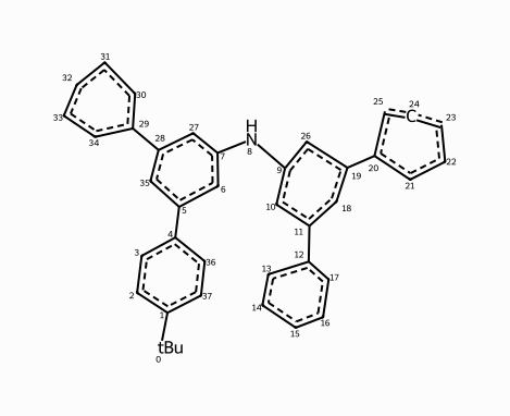 CC(C)(C)c1ccc(-c2cc(Nc3cc(-c4ccccc4)cc(-c4ccccc4)c3)cc(-c3ccccc3)c2)cc1